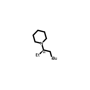 CCC(C)C[C@@H](CC)N1CCCCC1